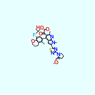 COC[C@@H]1CCCN1c1nsc(-c2cc3c(-c4cc(F)c5c(c4C)CCCO5)c([C@H](OC(C)(C)C)C(=O)O)c(C)nc3n2C)n1